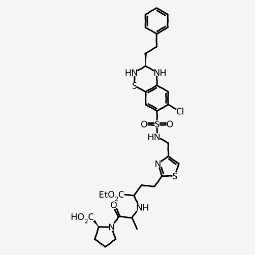 CCOC(=O)C(CCc1nc(CNS(=O)(=O)c2cc3c(cc2Cl)N[C@H](CCc2ccccc2)NS3)cs1)NC(C)C(=O)N1CCC[C@H]1C(=O)O